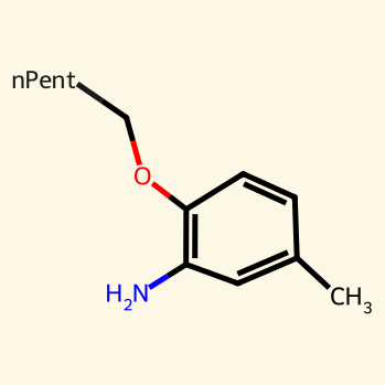 CCCCCCOc1ccc(C)cc1N